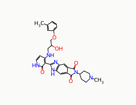 Cc1cccc(OCC(O)CNc2cc[nH]c(=O)c2-c2nc3cc4c(cc3[nH]2)C(=O)N(C2CCN(C)CC2)C4=O)c1